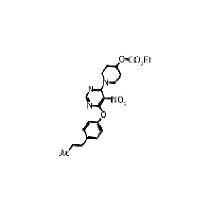 CCOC(=O)OC1CCN(c2ncnc(Oc3ccc(CCC(C)=O)cc3)c2[N+](=O)[O-])CC1